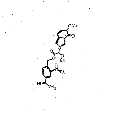 CCNc1cc(C(=N)N)ccc1CNC(=O)C(OCC)N1C=C2C=CC(OC)C(=O)C2C1